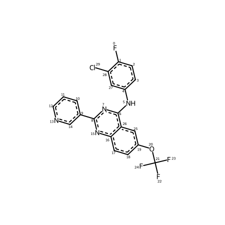 Fc1ccc(Nc2nc(-c3cccnc3)nc3ccc(OC(F)(F)F)cc23)cc1Cl